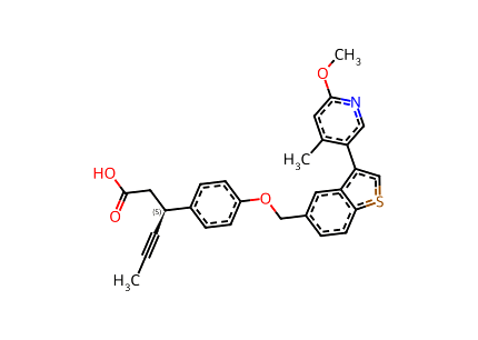 CC#C[C@@H](CC(=O)O)c1ccc(OCc2ccc3scc(-c4cnc(OC)cc4C)c3c2)cc1